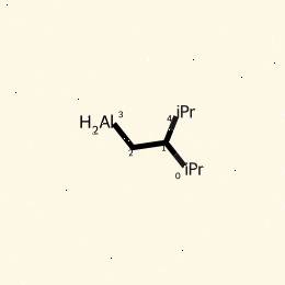 CC(C)C([CH2][AlH2])C(C)C